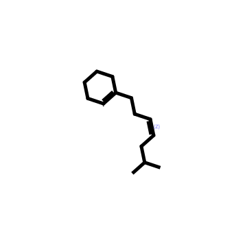 CC(C)C/C=C\CCC1=[C]CCCC1